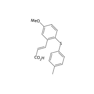 COc1ccc(Sc2ccc(C)cc2)c(C=CC(=O)O)c1